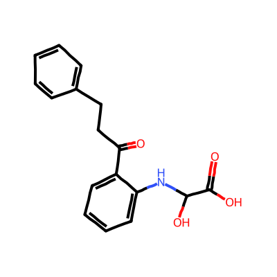 O=C(CCc1ccccc1)c1ccccc1NC(O)C(=O)O